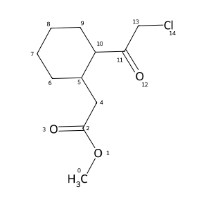 COC(=O)CC1CCCCC1C(=O)CCl